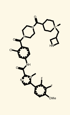 COc1ccc(-c2cnc(C(=O)Nc3ccc(C(=O)N4CCN(C(=O)C5CC[N+](C)(CC6CNC6)CC5)CC4)c(Cl)c3)n2C)c(F)c1F